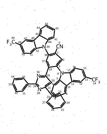 N#Cc1cc(-n2c3ccccc3c3cc(C(F)(F)F)ccc32)c(-c2cc(-c3ccccc3)nc(-c3ccccc3)n2)cc1-n1c2ccccc2c2cc(C(F)(F)F)ccc21